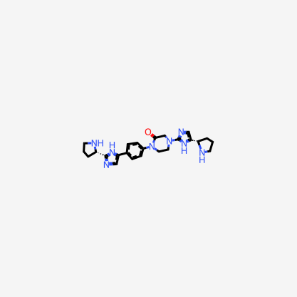 O=C1CN(c2ncc([C@@H]3CCCN3)[nH]2)CCN1c1ccc(-c2cnc([C@@H]3CCCN3)[nH]2)cc1